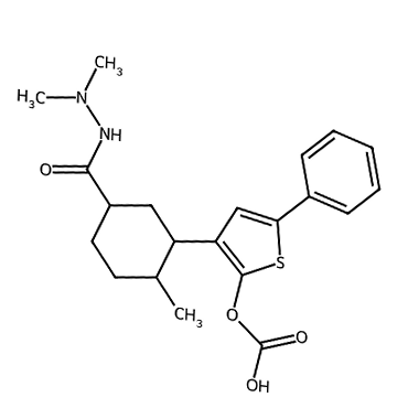 CC1CCC(C(=O)NN(C)C)CC1c1cc(-c2ccccc2)sc1OC(=O)O